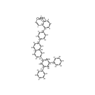 C/C=C\c1c(N)cccc1-c1ccc(-c2ccc3ccc(-c4nc(-c5ccccc5)nc(-c5ccccc5)n4)cc3c2)cc1